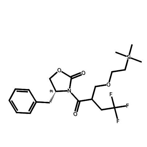 C[Si](C)(C)CCOCC(CC(F)(F)F)C(=O)N1C(=O)OC[C@H]1Cc1ccccc1